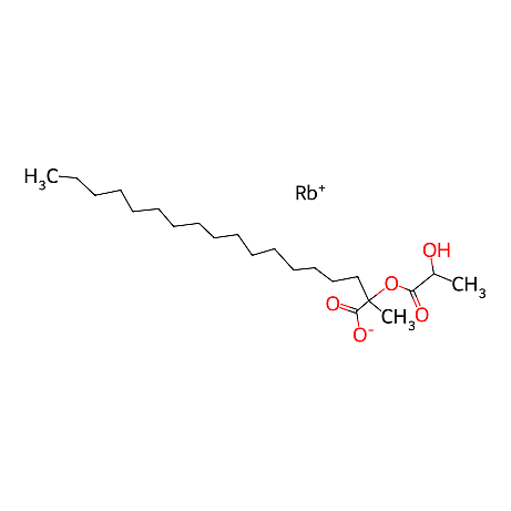 CCCCCCCCCCCCCCCCC(C)(OC(=O)C(C)O)C(=O)[O-].[Rb+]